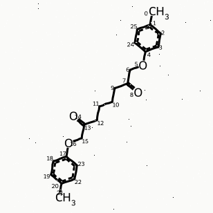 Cc1ccc(OCC(=O)CCCCC(=O)COc2ccc(C)cc2)cc1